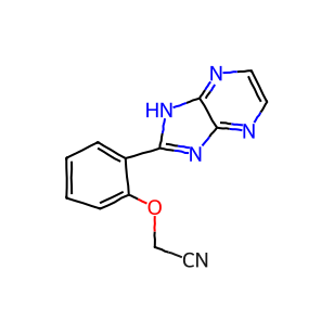 N#CCOc1ccccc1-c1nc2nccnc2[nH]1